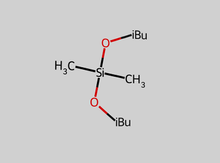 CCC(C)O[Si](C)(C)OC(C)CC